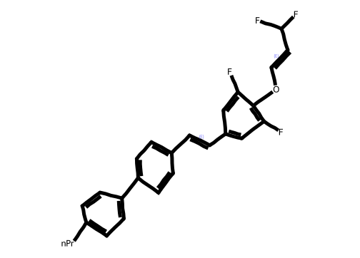 CCCc1ccc(-c2ccc(/C=C/c3cc(F)c(O/C=C/C(F)F)c(F)c3)cc2)cc1